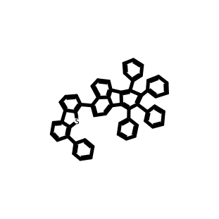 c1ccc(-c2c(-c3ccccc3)c(-c3ccccc3)c3c(c2-c2ccccc2)-c2cccc4c(-c5cccc6c5sc5c(-c7ccccc7)cccc56)ccc-3c24)cc1